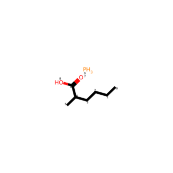 CCCCC(C)C(=O)O.P